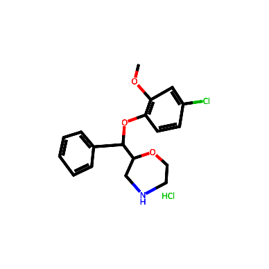 COc1cc(Cl)ccc1OC(c1ccccc1)C1CNCCO1.Cl